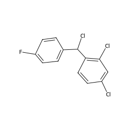 Fc1ccc(C(Cl)c2ccc(Cl)cc2Cl)cc1